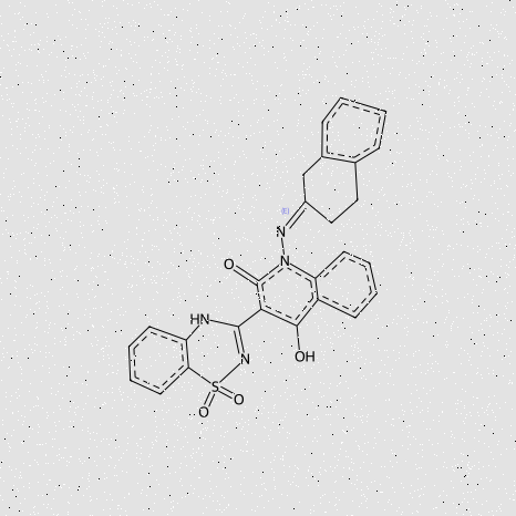 O=c1c(C2=NS(=O)(=O)c3ccccc3N2)c(O)c2ccccc2n1/N=C1\CCc2ccccc2C1